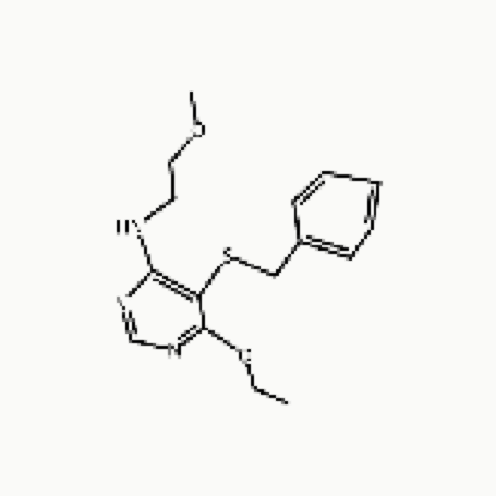 CCOc1ncnc(NCCOC)c1SCc1ccccc1